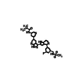 CC(C)C(=O)Nc1cncc(-c2cnc3[nH]nc(-c4cc5c(-c6cc(F)cc(CNS(C)(=O)=O)c6)nccc5[nH]4)c3c2)c1